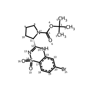 CC(C)(C)OC(=O)N1CCC[C@H]1C1=NS(=O)(=O)c2ccc(Br)cc2N1